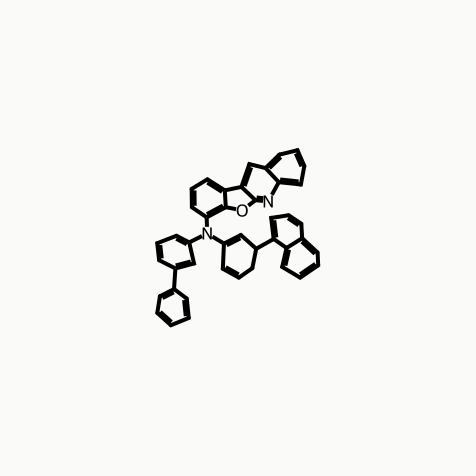 C1=CC(N(c2cccc(-c3ccccc3)c2)c2cccc3c2oc2nc4ccccc4cc23)=CC(c2cccc3ccccc23)C1